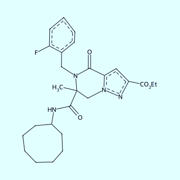 CCOC(=O)c1cc2n(n1)CC(C)(C(=O)NC1CCCCCCC1)N(Cc1ccccc1F)C2=O